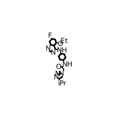 CCOc1cc(F)cc2ncnc(Nc3ccc(NC(=O)Cn4cc(C(C)C)nn4)cc3)c12